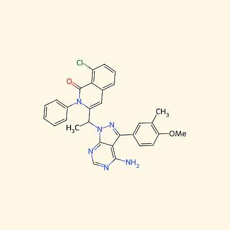 COc1ccc(-c2nn(C(C)c3cc4cccc(Cl)c4c(=O)n3-c3ccccc3)c3ncnc(N)c23)cc1C